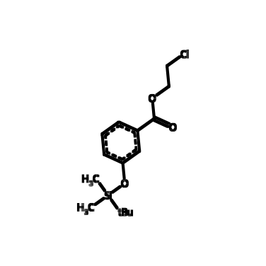 CC(C)(C)[Si](C)(C)Oc1cccc(C(=O)OCCCl)c1